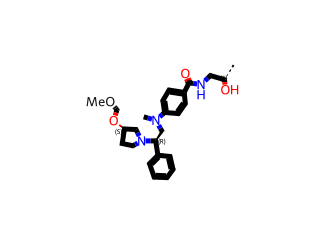 COCO[C@H]1CCN([C@@H](CN(C)c2ccc(C(=O)NC[C@H](C)O)cc2)c2ccccc2)C1